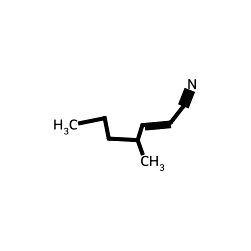 CCCC(C)C=CC#N